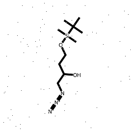 CC(C)(C)[Si](C)(C)OCCC(O)CN=[N+]=[N-]